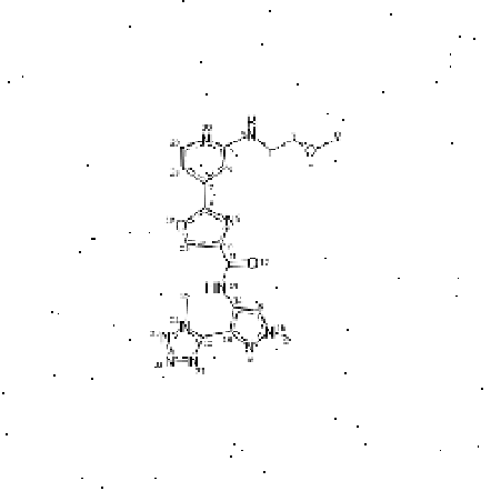 COCCNc1cc(-c2nc(C(=O)Nc3cn(C)nc3-c3nnnn3C)co2)ccn1